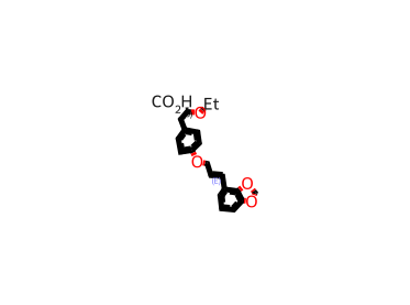 CCO[C@@H](Cc1ccc(OC/C=C/c2cccc3c2OCO3)cc1)C(=O)O